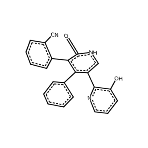 N#Cc1ccccc1-c1c(-c2ccccc2)c(-c2ncccc2O)c[nH]c1=O